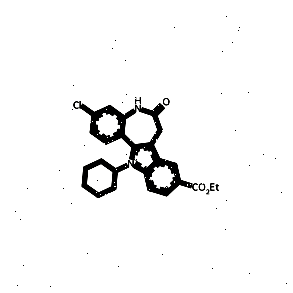 CCOC(=O)c1ccc2c(c1)c1c(n2C2CCCCC2)-c2ccc(Cl)cc2NC(=O)C1